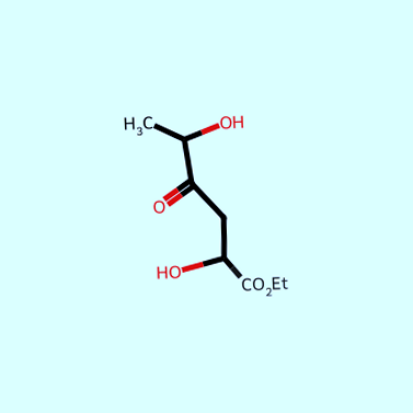 CCOC(=O)C(O)CC(=O)C(C)O